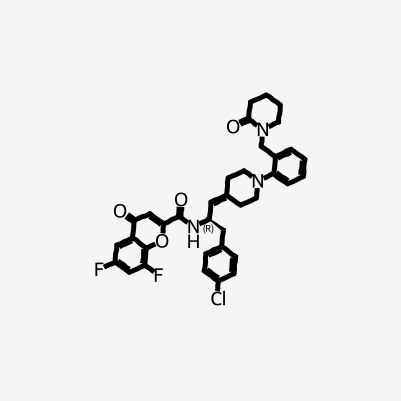 O=C(N[C@@H](C=C1CCN(c2ccccc2CN2CCCCC2=O)CC1)Cc1ccc(Cl)cc1)c1cc(=O)c2cc(F)cc(F)c2o1